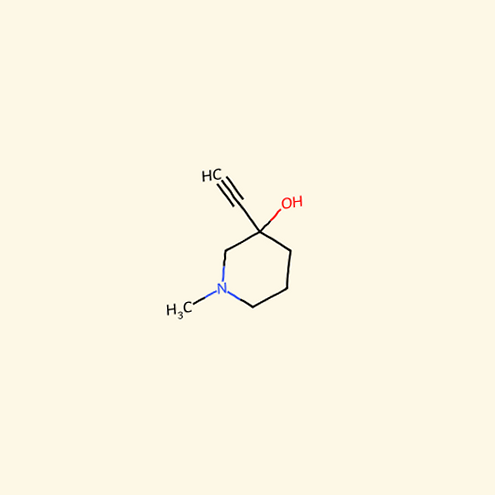 C#CC1(O)CCCN(C)C1